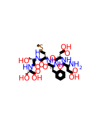 CSCC[C@H](NC(=O)[C@H](Cc1ccccc1)NC(=O)[C@H](CC(=O)O)NC(=O)[C@@H](N)CC(=O)O)C(=O)N[C@@H](CO)C(=O)N[C@@H](CO)C(=O)O